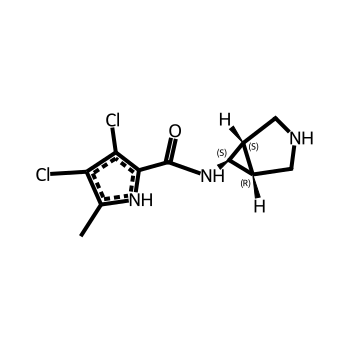 Cc1[nH]c(C(=O)N[C@H]2[C@@H]3CNC[C@@H]32)c(Cl)c1Cl